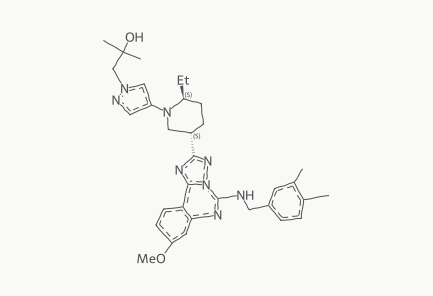 CC[C@H]1CC[C@H](c2nc3c4ccc(OC)cc4nc(NCc4ccc(C)c(C)c4)n3n2)CN1c1cnn(CC(C)(C)O)c1